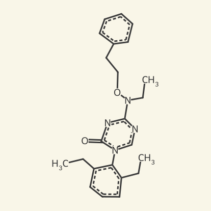 CCc1cccc(CC)c1-n1cnc(N(CC)OCCc2ccccc2)nc1=O